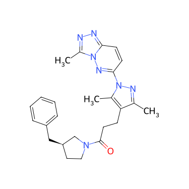 Cc1nn(-c2ccc3nnc(C)n3n2)c(C)c1CCC(=O)N1CC[C@@H](Cc2ccccc2)C1